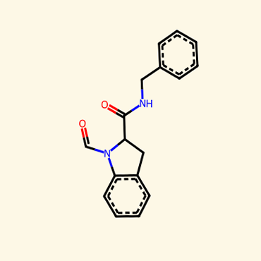 O=CN1c2ccccc2CC1C(=O)NCc1ccccc1